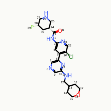 O=C(Nc1cc(-c2cncc(NCC3CCOCC3)n2)c(Cl)cn1)[C@H]1CNC[C@@H](F)C1